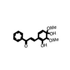 COC1C(O)=C(C=CC(=O)c2ccccc2)C=CC1(O)OC